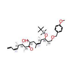 C=C/C=C\[C@H](C)[C@H](O)[C@@H](C)C(=O)[C@@H](C)C/C(C)=C\[C@H](C)[C@@H](O[Si](C)(C)C(C)(C)C)[C@@H](C)COCc1ccc(OC)cc1